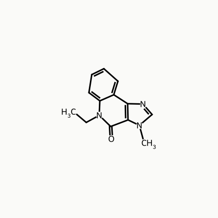 CCn1c(=O)c2c(ncn2C)c2ccccc21